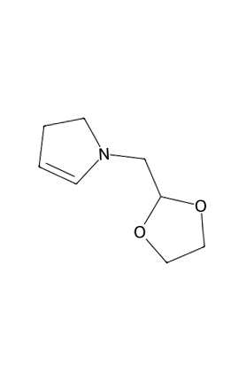 C1=CN(CC2OCCO2)CC1